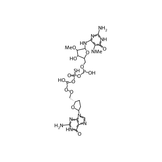 CNc1c(NC2OC(COP(O)OP(=O)(S)OP(O)OOC[C@@H]3CCC(n4cnc5c(=O)[nH]c(N)nc54)O3)C(O)C2OC)nc(N)[nH]c1=O